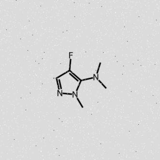 CN(C)c1c(F)[c]nn1C